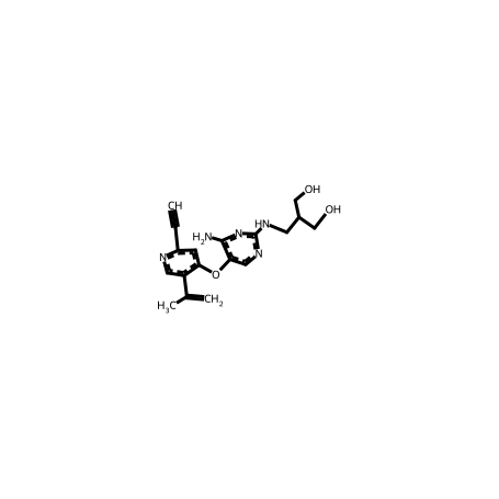 C#Cc1cc(Oc2cnc(NCC(CO)CO)nc2N)c(C(=C)C)cn1